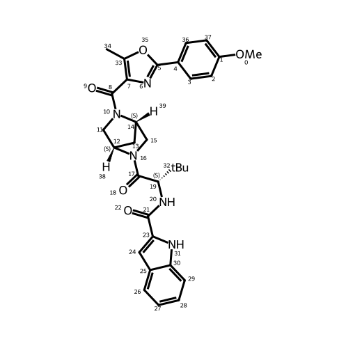 COc1ccc(-c2nc(C(=O)N3C[C@@H]4C[C@H]3CN4C(=O)[C@@H](NC(=O)c3cc4ccccc4[nH]3)C(C)(C)C)c(C)o2)cc1